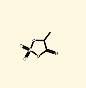 CC1OS(=O)(=O)OC1=O